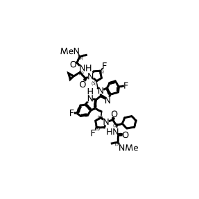 CN[C@@H](C)C(=O)N[C@H](C(=O)N1C[C@@H](F)C[C@H]1Cc1c(-c2nc3cc(F)ccc3n2C[C@@H]2C[C@H](F)CN2C(=O)[C@@H](NC(=O)[C@H](C)NC)C2CC2)[nH]c2cc(F)ccc12)C1CCCCC1